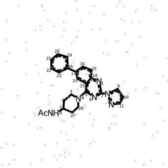 CC(=O)NC1CCN(c2nc(-n3cccn3)nc3ccc(-c4ccccc4)cc23)CC1